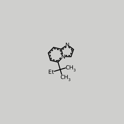 CCC(C)(C)c1cccc2nccn12